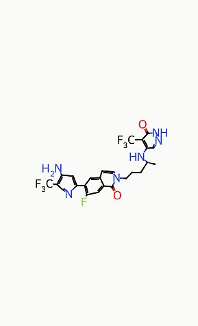 C[C@@H](CCCn1ccc2cc(-c3cc(N)c(C(F)(F)F)cn3)c(F)cc2c1=O)Nc1cn[nH]c(=O)c1C(F)(F)F